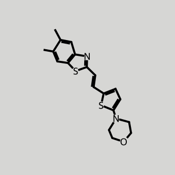 Cc1cc2nc(C=Cc3ccc(N4CCOCC4)s3)sc2cc1C